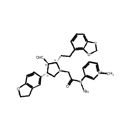 CCCCN(C(=O)CN1C[C@H](c2ccc3c(c2)CCO3)[C@@H](C=O)[C@@H]1CCc1cccc2c1OCO2)c1ccc[n+](C)c1